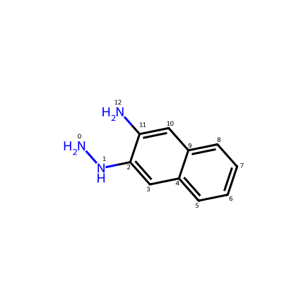 NNc1cc2ccccc2cc1N